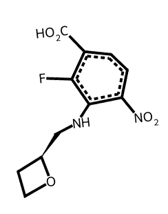 O=C(O)c1ccc([N+](=O)[O-])c(NC[C@@H]2CCO2)c1F